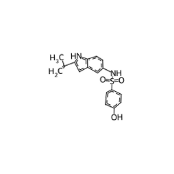 C=C(C)c1cc2cc(NS(=O)(=O)c3ccc(O)cc3)ccc2[nH]1